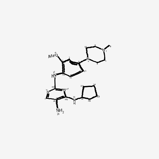 COc1cc(N2CCN(C)CC2)ccc1Nc1ncc(N)c(NC2CCCC2)n1